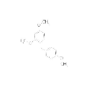 COc1ccc(Cc2ccc(OC)cc2OC)cc1